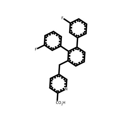 O=C(O)c1ccc(Cc2cccc(-c3cccc(F)c3)c2-c2cccc(F)c2)cn1